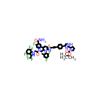 CC(C)(C)OC(=O)N1CCCC1c1nc(-c2ccc(C#Cc3nc4nc([C@H](Cc5cc(F)cc(F)c5)NC(=O)Cn5nc(C(F)F)c6c5C(F)(F)CCC6(F)F)c(-c5ccc(F)c(C(N)=O)c5)cc4s3)cc2)c[nH]1